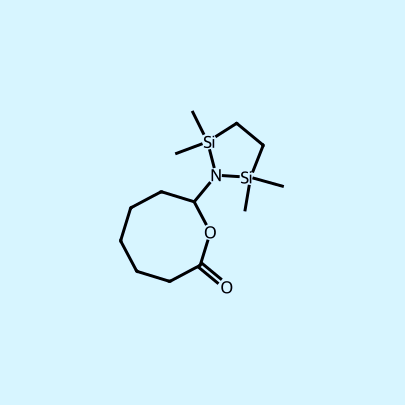 C[Si]1(C)CC[Si](C)(C)N1C1CCCCCC(=O)O1